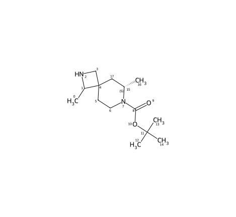 CC1NCC12CCN(C(=O)OC(C)(C)C)[C@@H](C)C2